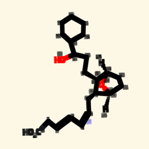 O=C(O)CC=C/C=C\C[C@H]1[C@@H](CCC(O)C2CCCCC2)[C@H]2CC[C@@H]1O2